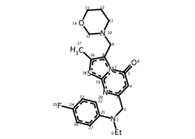 CCN(Cc1cc(=O)n2c(CN3CCCOC3)c(C)sc2n1)c1ccc(F)cc1